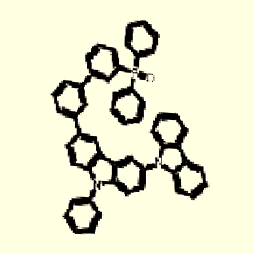 O=P(c1ccccc1)(c1ccccc1)c1cccc(-c2cccc(-c3ccc4c(c3)c3cc(-n5c6ccccc6c6ccccc65)ccc3n4-c3ccccc3)c2)c1